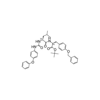 CC(C)C[C@H](NC(=O)Nc1ccc(Oc2ccccc2)cc1)C(=O)N[C@@H](Cc1ccc(OCc2ccccc2)cc1)C(=O)OC(C)(C)C